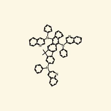 CC1(C)c2cc(N(c3ccccc3)c3cnc4ccccc4c3)ccc2-c2cc3c(N(c4ccccc4)c4cnc5ccccc5c4)c4ccccc4c(N(c4ccccc4)c4cnc5ccccc5c4)c3cc21